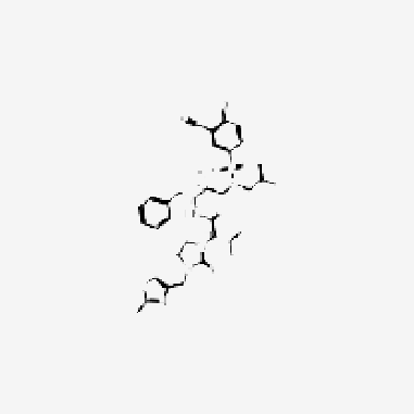 Cc1nc(CN2CCN([C@H](C(=O)N[C@@H](Cc3ccccc3)[C@H](O)CN(CC(C)C)S(=O)(=O)c3ccc(O)c(C#N)c3)C(C)C)C2=O)cs1